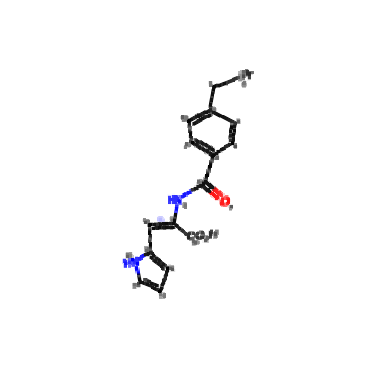 CC(C)Cc1ccc(C(=O)N/C(=C/c2ccc[nH]2)C(=O)O)cc1